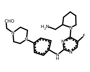 NCC1CCCCN1c1nc(Nc2ccc(N3CCN(CC=O)CC3)cc2)ncc1F